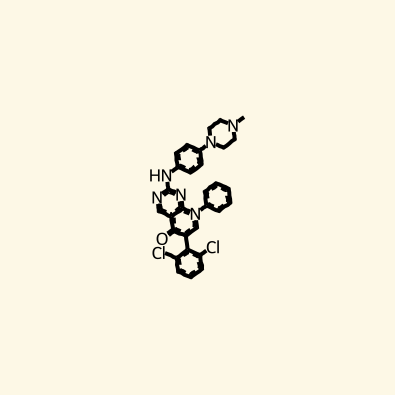 CN1CCN(c2ccc(Nc3ncc4c(=O)c(-c5c(Cl)cccc5Cl)cn(-c5ccccc5)c4n3)cc2)CC1